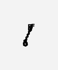 CC(F)(F)COCCCCCCCCN1CCCCC1